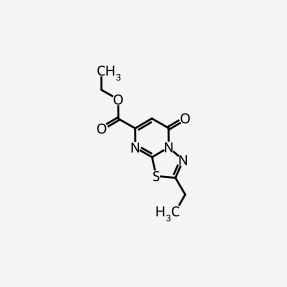 CCOC(=O)c1cc(=O)n2nc(CC)sc2n1